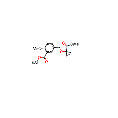 COC(=O)C1(OCc2ccc(OC)c(C(=O)OC(C)(C)C)c2)CC1